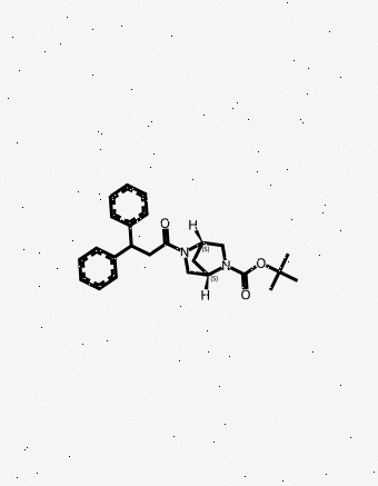 CC(C)(C)OC(=O)N1C[C@@H]2C[C@H]1CN2C(=O)CC(c1ccccc1)c1ccccc1